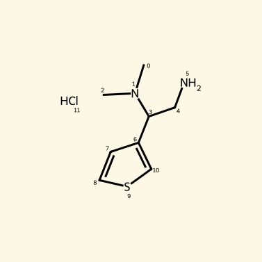 CN(C)C(CN)c1ccsc1.Cl